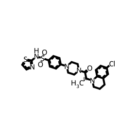 C[C@H](C(=O)N1CCN(c2ccc(S(=O)(=O)Nc3nccs3)cc2)CC1)N1CCCc2cc(Cl)ccc21